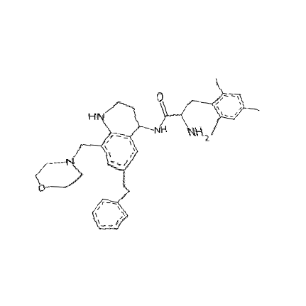 Cc1cc(C)c(CC(N)C(=O)NC2CCNc3c(CN4CCOCC4)cc(Cc4ccccc4)cc32)c(C)c1